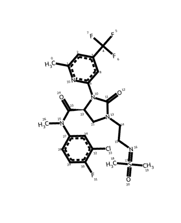 Cc1cc(C(F)(F)F)cc(N2C(=O)N(CCN=S(C)(C)=O)C[C@H]2C(=O)N(C)c2ccc(F)c(Cl)c2)n1